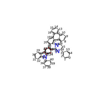 c1ccc(-c2cc(-c3cccc4c5ccccc5c5ccc(-c6ccc7c(c6)c6ccccc6n7-c6ccccc6)cc5c34)nc(-c3ccccc3)n2)cc1